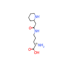 N[C@@H](CCCNC(=O)CC1CCCCN1)C(=O)O